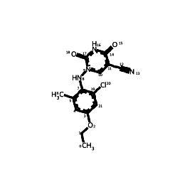 CCOc1cc(C)c(Nn2cc(C#N)c(=O)[nH]c2=O)c(Cl)c1